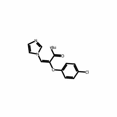 CC(C)(C)C(=O)C(=Cn1ccnc1)Oc1ccc(Cl)cc1